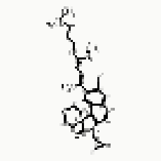 C=N/C(=C\C=C(/C)c1cc2c3c(cnc2cc1F)N(C1CC1)C(=O)C31CCOCC1)OCCCN(C)C